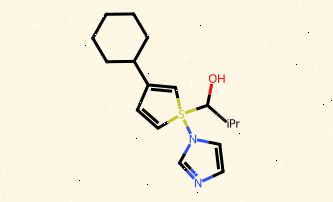 CC(C)C(O)S1(n2ccnc2)C=CC(C2CCCCC2)=C1